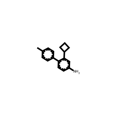 Cc1ccc(-c2ccc(N)cc2C2CCC2)cc1